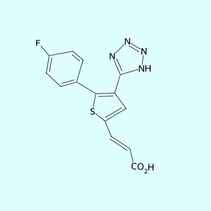 O=C(O)/C=C/c1cc(-c2nnn[nH]2)c(-c2ccc(F)cc2)s1